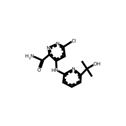 CC(C)(O)c1cccc(Nc2cc(Cl)nnc2C(N)=O)n1